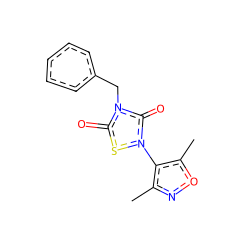 Cc1noc(C)c1-n1sc(=O)n(Cc2ccccc2)c1=O